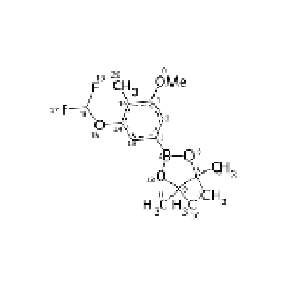 COc1cc(B2OC(C)(C)C(C)(C)O2)cc(OC(F)F)c1C